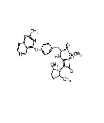 COC(=O)C(Cc1ccc(Oc2nc(C)cc3ccncc23)cc1)Nc1c(N2C(C)CCC2C)c(=O)c1=O